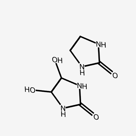 O=C1NC(O)C(O)N1.O=C1NCCN1